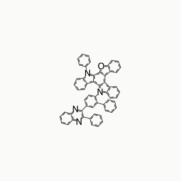 c1ccc(-c2cc(-c3nc4ccccc4nc3-c3ccccc3)ccc2-n2c3ccccc3c3c4c5ccccc5oc4c4c(c5ccccc5n4-c4ccccc4)c32)cc1